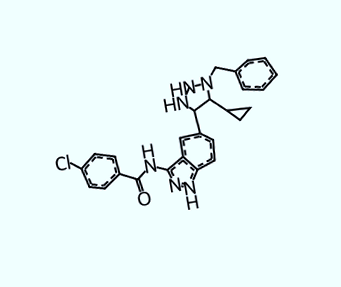 O=C(Nc1n[nH]c2ccc(C3NNN(Cc4ccccc4)C3C3CC3)cc12)c1ccc(Cl)cc1